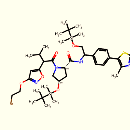 Cc1ncsc1-c1ccc(C(CO[Si](C)(C)C(C)(C)C)NC(=O)[C@@H]2C[C@@H](O[Si](C)(C)C(C)(C)C)CN2C(=O)C(c2cc(OCCBr)no2)C(C)C)cc1